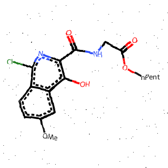 CCCCCOC(=O)CNC(=O)c1nc(Cl)c2ccc(OC)cc2c1O